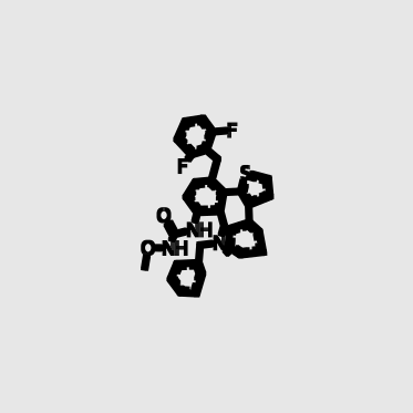 CONC(=O)Nc1ccc(Cc2c(F)cccc2F)c(-c2sccc2-c2ccccc2)c1CN(C)Cc1ccccc1